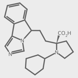 O=C(O)[C@@]1(CCC2c3ccccc3-c3cncn32)CCCN1C1CCCCC1